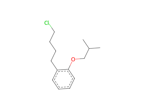 CC(C)COc1ccccc1CCCCCl